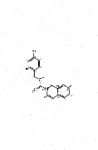 O=C(OCc1ccc(F)cc1)N1C=Cc2ccccc2C1